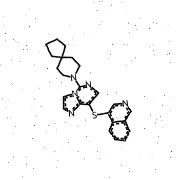 c1ccc2c(Sc3cnc(N4CCC5(CCCC5)CC4)n4ccnc34)cncc2c1